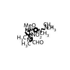 COc1cc(N(C)CCN(C)C)c([N+](=O)[O-])cc1Nc1ncc(C)c(-n2cc(C=O)c(C)n2)n1